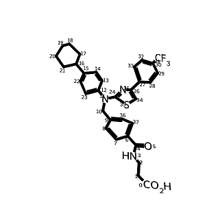 O=C(O)CCNC(=O)c1ccc(CN(c2ccc(C3CCCCC3)cc2)c2nc(-c3ccc(C(F)(F)F)cc3)cs2)cc1